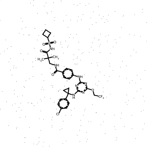 CC(C)(CNC(=O)c1ccc(Nc2nc(NC3(c4ccc(Cl)cc4)CC3)nc(OCC(F)(F)F)n2)cc1)C(=O)NS(=O)(=O)C1CCC1